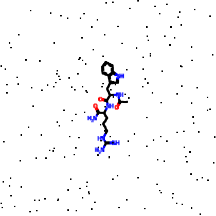 CC(=O)NC(Cc1c[nH]c2ccccc12)C(=O)NC(CCCNC(=N)N)C(N)=O